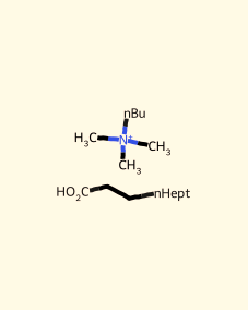 CCCCCCCCCC(=O)O.CCCC[N+](C)(C)C